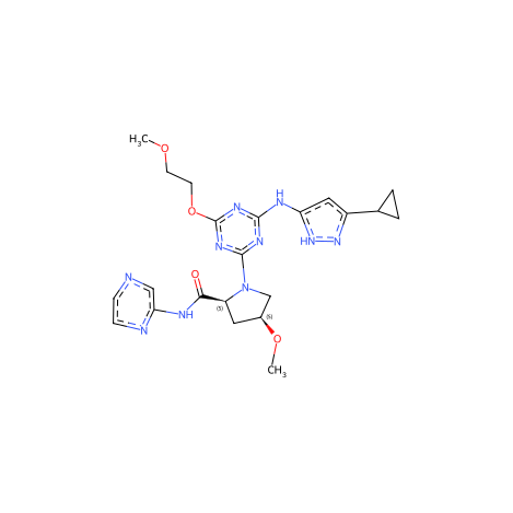 COCCOc1nc(Nc2cc(C3CC3)n[nH]2)nc(N2C[C@@H](OC)C[C@H]2C(=O)Nc2cnccn2)n1